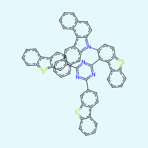 c1ccc2cc3c(cc2c1)c1c2ccccc2ccc1n3-c1ccc2sc3ccccc3c2c1-c1nc(-c2ccc3c(c2)sc2ccccc23)nc(-c2ccc3c(c2)sc2ccccc23)n1